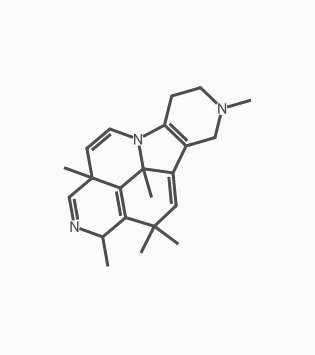 CC1N=CC2(C)C=CN3C4=C(CN(C)CC4)C4=CC(C)(C)C1=C2C43C